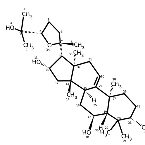 CC(C)(O)[C@@H]1CC[C@](C)([C@H]2[C@@H](O)C[C@@]3(C)[C@@H]4C[C@H](O)[C@H]5C(C)(C)[C@@H](O)CC[C@]5(C)C4=CC[C@]23C)O1